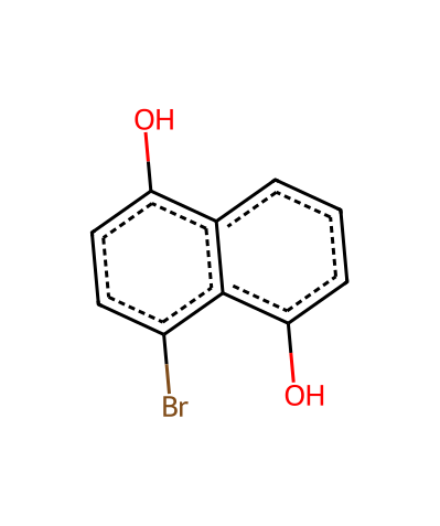 Oc1ccc(Br)c2c(O)cccc12